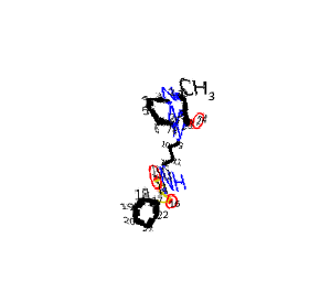 Cc1nc2cccc3n(CCCCNS(=O)(=O)c4ccccc4)c(=O)c1n23